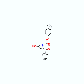 O=C(c1ccccc1)C1CC(O)CN1C(=O)OCc1ccc([N+](=O)[O-])cc1